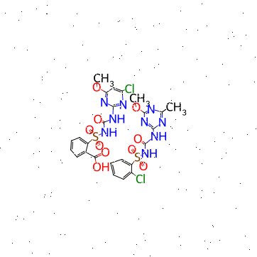 COc1cc(Cl)nc(NC(=O)NS(=O)(=O)c2ccccc2C(=O)O)n1.COc1nc(C)nc(NC(=O)NS(=O)(=O)c2ccccc2Cl)n1